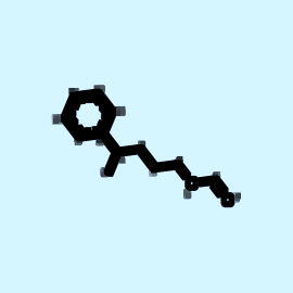 CC(CCCOC=O)c1ccccc1